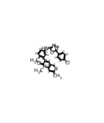 Cc1cc2c(cn1)cc(-c1cc(Nc3nnc(-c4ccc(Cl)cc4)o3)ccc1C)c(=O)n2C